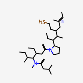 C=C(CC(C)C)N(C)C(C(C)CC)C(CC)CC(=C)N1CCCC1C(CC)C(C)C(CCS)C/C(C)=C/C